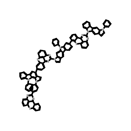 c1ccc(-n2ccc3cc4c(cc32)c2ccccc2n4-c2nc3c4c(cccc4n2)Sc2c(-c4ccc5c6cc7ccn(-c8nc9c%10c(cccc%10n8)Sc8cc(-c%10cc%11c%12ccccc%12n(-c%12ccccc%12)c%11c%11c%10ccn%11-c%10ccc(-c%11nc%12c%13c(cccc%13n%11)Sc%11ccccc%11-%12)cc%10)ccc8-9)c7cc6n(-c6ccccc6)c5c4)cccc2-3)cc1